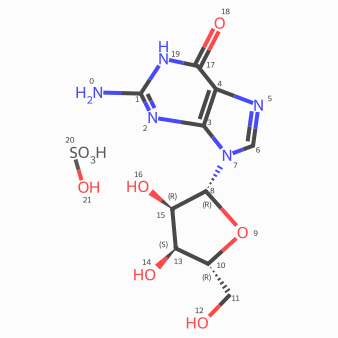 Nc1nc2c(ncn2[C@@H]2O[C@H](CO)[C@@H](O)[C@H]2O)c(=O)[nH]1.O=S(=O)(O)O